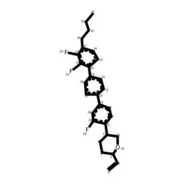 C=CC1CCC(c2ccc(-c3ccc(-c4ccc(CCCC)c(F)c4F)cc3)cc2F)CO1